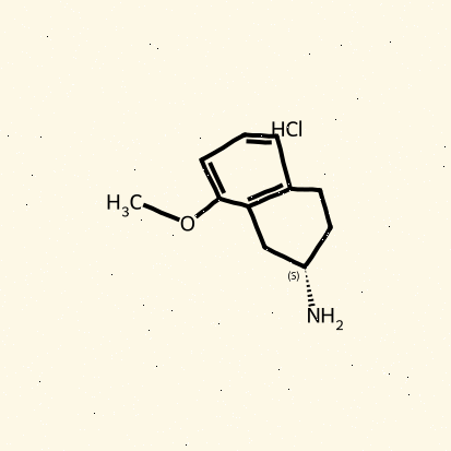 COc1cccc2c1C[C@@H](N)CC2.Cl